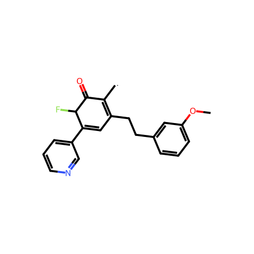 [CH2]C1=C(CCc2cccc(OC)c2)C=C(c2cccnc2)C(F)C1=O